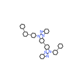 c1ccc(-c2cccc(-c3ccc(-n4c5ccc(-c6ccc7c(c6)n6c8ccccc8nc6n7-c6cccc(-c7ccccc7)c6)cc5n5c6ccccc6nc45)cc3)c2)cc1